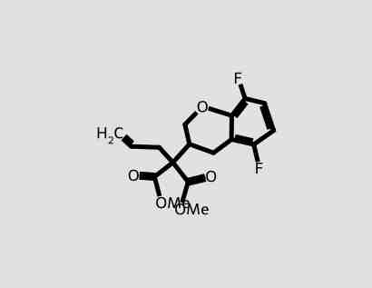 C=CCC(C(=O)OC)(C(=O)OC)C1COc2c(F)ccc(F)c2C1